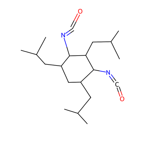 CC(C)CC1CC(CC(C)C)C(N=C=O)C(CC(C)C)C1N=C=O